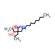 CCCCCCCCCCCCC(CC(C)O)(CC(C)O)C(N)=O